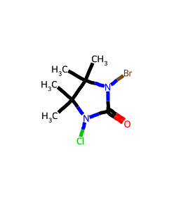 CC1(C)N(Cl)C(=O)N(Br)C1(C)C